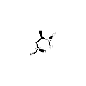 C=C([CH][13C](=O)O)[13C](=O)O